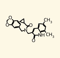 Cc1cc(C)c2[nH]c(=O)c(CN(Cc3ccc4c(c3)OCO4)C(=O)C3CC3)cc2c1